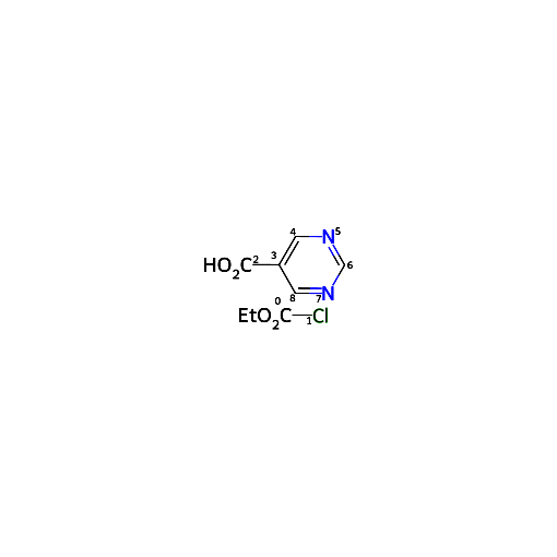 CCOC(=O)Cl.O=C(O)c1cncnc1